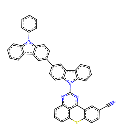 N#Cc1ccc2c(c1)-c1nc(-n3c4ccccc4c4cc(-c5ccc6c(c5)c5ccccc5n6-c5ccccc5)ccc43)nc3cccc(c13)S2